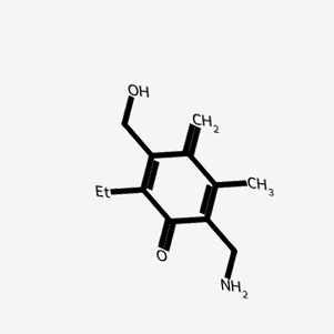 C=C1C(C)=C(CN)C(=O)C(CC)=C1CO